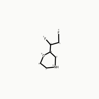 FC[C](F)C1CNCCO1